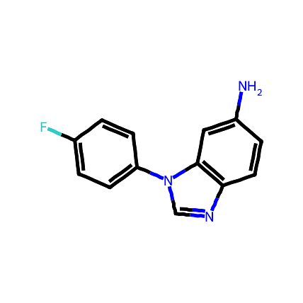 Nc1ccc2ncn(-c3ccc(F)cc3)c2c1